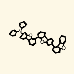 c1ccc(N(c2ccccc2)c2ccc3c(c2)oc2c(-c4cccc5c4oc4cc(-c6cccc7oc8ccccc8c67)ccc45)cccc23)cc1